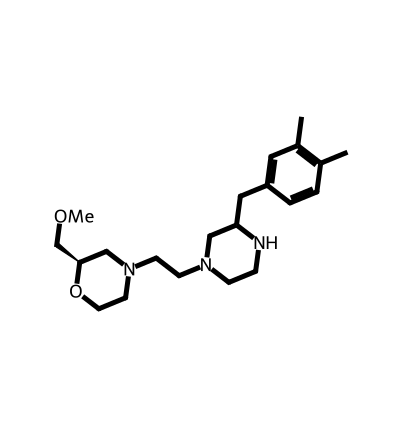 COC[C@H]1CN(CCN2CCNC(Cc3ccc(C)c(C)c3)C2)CCO1